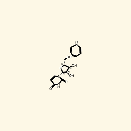 C1=CC=CNC=C1.O=c1ccn([C@@H]2O[C@H](CO)[C@@H](O)[C@H]2O)c(=O)[nH]1